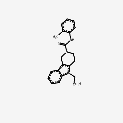 Cc1ccccc1NC(=S)N1CCc2c(c3ccccc3n2CC(=O)O)C1